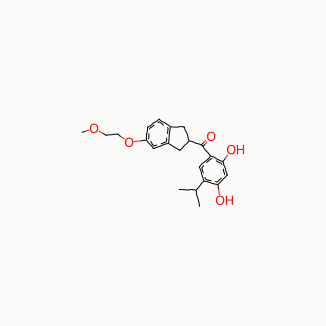 COCCOc1ccc2c(c1)CC(C(=O)c1cc(C(C)C)c(O)cc1O)C2